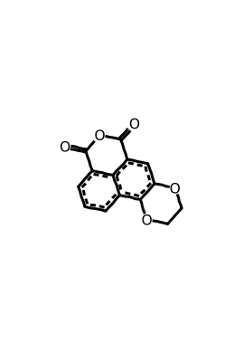 O=C1OC(=O)c2cc3c(c4cccc1c24)OCCO3